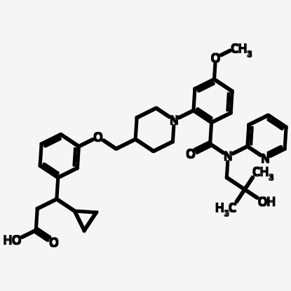 COc1ccc(C(=O)N(CC(C)(C)O)c2ccccn2)c(N2CCC(COc3cccc(C(CC(=O)O)C4CC4)c3)CC2)c1